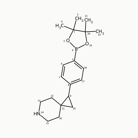 CC1(C)OB(c2ccc(C3CC34CCNCC4)cc2)OC1(C)C